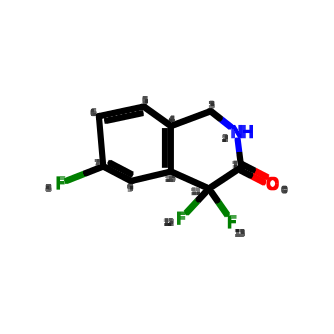 O=C1NCc2ccc(F)cc2C1(F)F